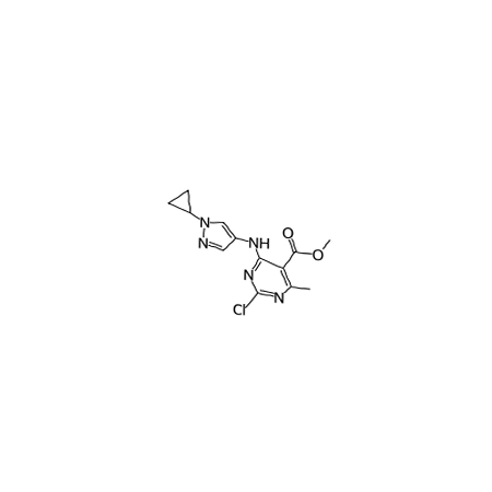 COC(=O)c1c(C)nc(Cl)nc1Nc1cnn(C2CC2)c1